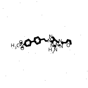 CS(=O)(=O)c1ccc(-c2ccc(CCn3ncc4c3nc(N)n3nc(-c5ccco5)nc43)cc2)cc1